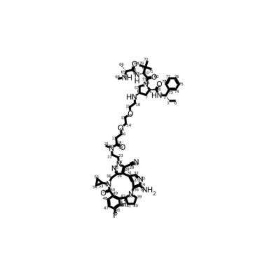 CC[C@H](NC(=O)[C@H]1C[C@@H](NCCOCCOCCC(=O)N(C)CCn2nc3c(c2C#N)-c2cnc(N)c(c2)N2CCC[C@@H]2c2cc(F)ccc2C(=O)N(C2CC2)C3)CN1C(=O)[C@H](NC(=O)[C@@H](C)NC)C(C)(C)C)c1ccccc1